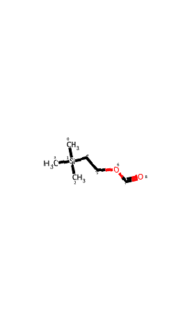 C[Si](C)(C)CCO[C]=O